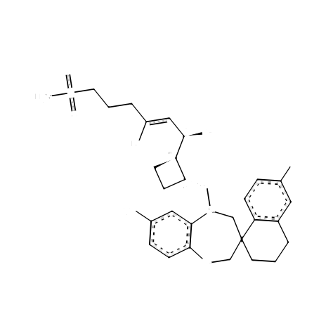 NS(=O)(=O)CCC/C(Br)=C/[C@@H](O)[C@@H]1CC[C@H]1CN1CC2(CCCc3cc(Cl)ccc32)COc2ccc(C(=O)O)cc21